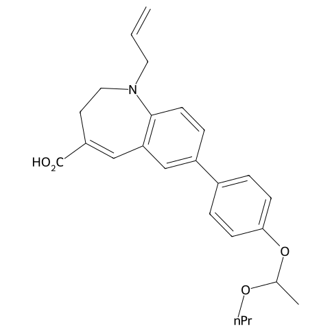 C=CCN1CCC(C(=O)O)=Cc2cc(-c3ccc(OC(C)OCCC)cc3)ccc21